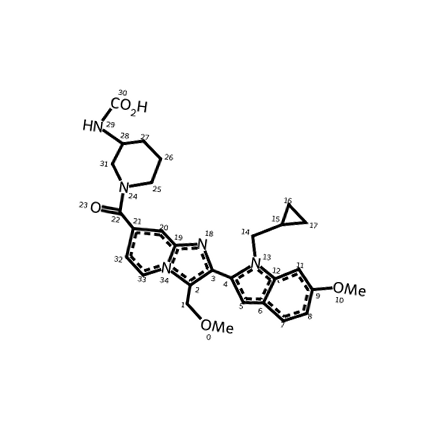 COCc1c(-c2cc3ccc(OC)cc3n2CC2CC2)nc2cc(C(=O)N3CCCC(NC(=O)O)C3)ccn12